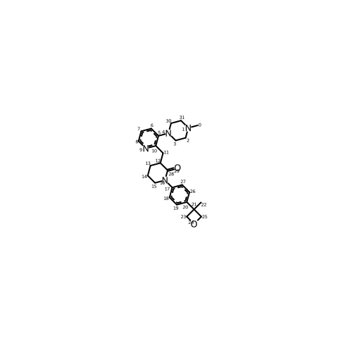 CN1CCN(c2cccnc2CC2CCCN(c3ccc(C4(C)COC4)cc3)C2=O)CC1